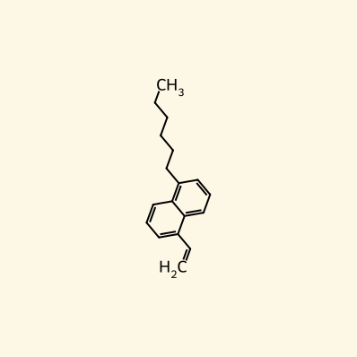 C=Cc1cccc2c(CCCCCC)cccc12